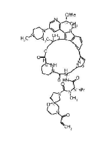 C=CC(=O)N1CCO[C@@]2(CCN(C(=O)N(C)[C@H](C(=O)N[Si@H]3Cc4nc(cs4)-c4ccc5c(c4)c(c(-c4cc(N6CCN(C)CC6)cnc4[C@H](C)OC)n5CC)CC(C)(C)COC(=O)[C@@H]4CCCN(N4)C3=O)C(C)C)C2)C1